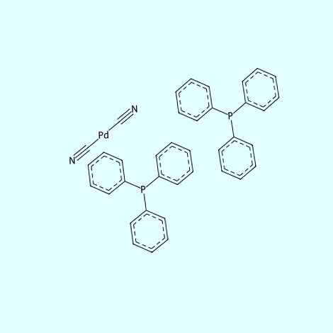 N#[C][Pd][C]#N.c1ccc(P(c2ccccc2)c2ccccc2)cc1.c1ccc(P(c2ccccc2)c2ccccc2)cc1